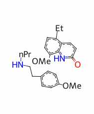 CCCNCCc1ccc(OC)cc1.CCc1ccc(OC)c2[nH]c(=O)ccc12